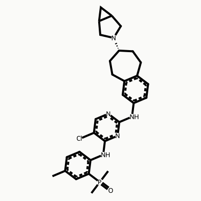 Cc1ccc(Nc2nc(Nc3ccc4c(c3)CC[C@H](N3CC5CC5C3)CC4)ncc2Cl)c(P(C)(C)=O)c1